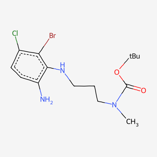 CN(CCCNc1c(N)ccc(Cl)c1Br)C(=O)OC(C)(C)C